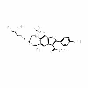 CNC(=O)c1c(-c2ccc(C)cc2)oc2cc3c(cc12)[C@H](C)O[C@H](COC[C@H](O)CO)CN3S(C)(=O)=O